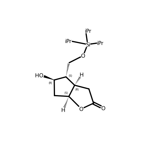 CC(C)[Si](OC[C@@H]1[C@H]2CC(=O)O[C@H]2C[C@H]1O)(C(C)C)C(C)C